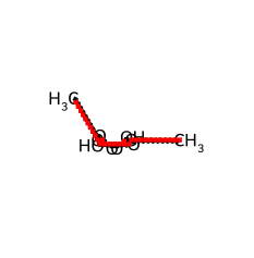 CCCCCCCCCC=CC=CC=CC=CC=CC(=O)Oc1ccc(C=CC(=O)CC(=O)C=Cc2ccc(OC(=O)C=CC=CC=CC=CC=CCCCCCCCCC)c(O)c2)cc1O